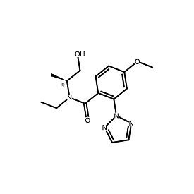 CCN(C(=O)c1ccc(OC)cc1-n1nccn1)[C@@H](C)CO